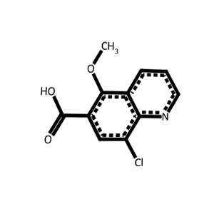 COc1c(C(=O)O)cc(Cl)c2ncccc12